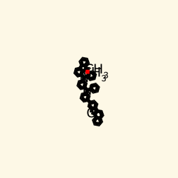 CC1(C)c2ccccc2-c2cccc(N(c3ccccc3)c3cccc(N(c4ccccc4)c4cccc(-c5ccc6c(c5)oc5c7ccccc7ccc65)c4)c3)c21